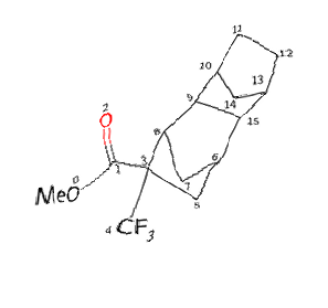 COC(=O)C1(C(F)(F)F)CC2CC1C1C3CCC(C3)C21